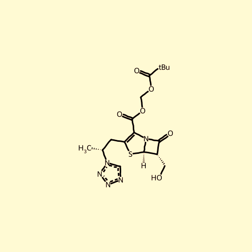 C[C@H](CC1=C(C(=O)OCOC(=O)C(C)(C)C)N2C(=O)[C@H](CO)[C@H]2S1)n1cnnn1